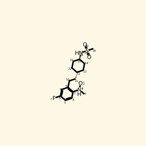 C[NH+]([O-])c1ccc(F)cc1CC[C@H]1CC[C@H](NS(C)(=O)=O)CC1